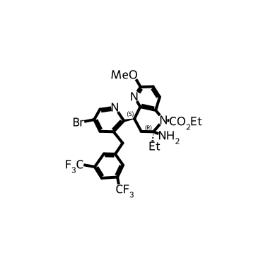 CCOC(=O)N1c2ccc(OC)nc2[C@H](c2ncc(Br)cc2Cc2cc(C(F)(F)F)cc(C(F)(F)F)c2)C[C@@]1(N)CC